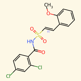 COc1ccccc1/C=C/S(=O)(=O)NC(=O)c1ccc(Cl)cc1Cl